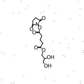 O=C(CCCC(=O)ON1C(=O)CCC1=O)OCC(O)CO